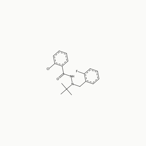 CC(C)(C)N(Cc1ccccc1F)NC(=O)c1ccccc1Cl